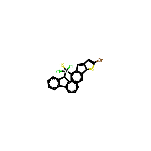 [SH][Zr]([Cl])([Cl])([c]1cccc2c1C=C1C=C(Br)SC12)[CH]1c2ccccc2-c2ccccc21